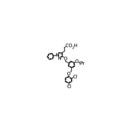 CC(C)Oc1cc(COc2ccc(Cl)cc2Cl)cc(COc2nn(-c3ccccc3)cc2CCC(=O)O)c1